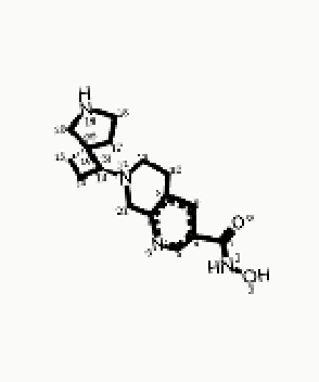 O=C(NO)c1cnc2c(c1)CCN([C@H]1CC[C@]13CCNC3)C2